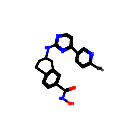 Cc1ccc(-c2ccnc(NC3CCc4ccc(C(=O)NO)cc4C3)n2)cn1